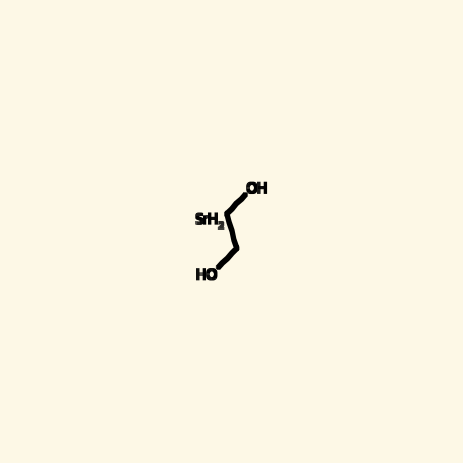 OCCO.[SrH2]